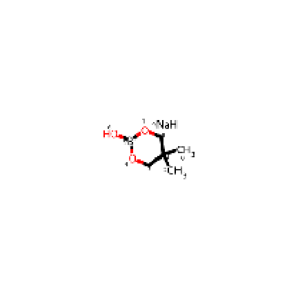 CC1(C)COB(O)OC1.[NaH]